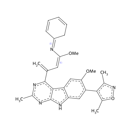 C=C(/C=C(\N=C1\C=CC=CC1)OC)c1nc(C)nc2[nH]c3cc(-c4c(C)noc4C)c(OC)cc3c12